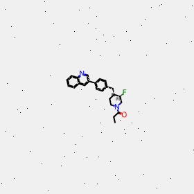 CCC(=O)N1CC[C@@H](Cc2ccc(-c3cnc4ccccc4c3)cc2)[C@@H](F)C1